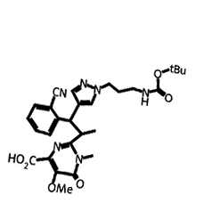 COc1c(C(=O)O)nc(C(C)C(c2cnn(CCCNC(=O)OC(C)(C)C)c2)c2ccccc2C#N)n(C)c1=O